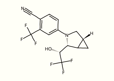 N#Cc1ccc(N2C[C@@H]3CC3[C@@H]2[C@@H](O)C(F)(F)F)cc1C(F)(F)F